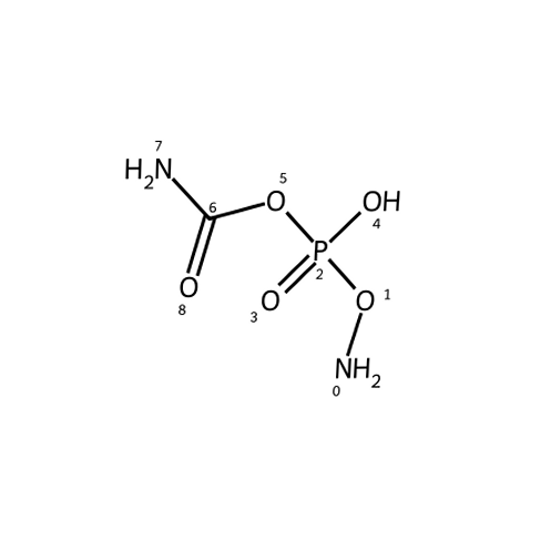 NOP(=O)(O)OC(N)=O